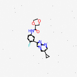 O=C(Nc1ccc(F)c(-c2cn3cc(C4CC4)cnc3n2)c1)C1COCCO1